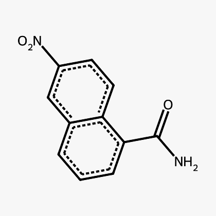 NC(=O)c1cccc2cc([N+](=O)[O-])ccc12